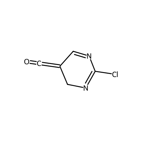 O=C=C1C=NC(Cl)=NC1